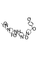 COc1ccc(C(=O)C2CCN(C(=O)c3ccc(C(=O)NC4CCN(Cc5cc(C)on5)CC4F)cn3)CC2)cc1